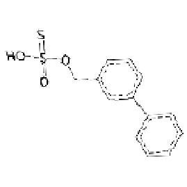 O=S(O)(=S)OCc1cccc(-c2ccccc2)c1